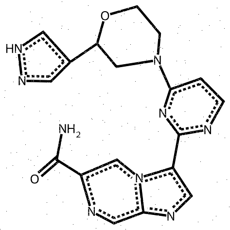 NC(=O)c1cn2c(-c3nccc(N4CCOC(c5cn[nH]c5)C4)n3)cnc2cn1